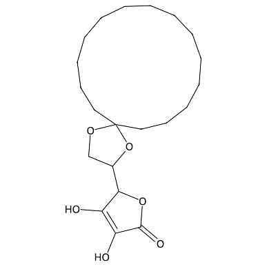 O=C1OC(C2COC3(CCCCCCCCCCCCCC3)O2)C(O)=C1O